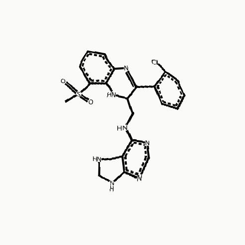 CS(=O)(=O)c1cccc2c1NC(CNc1ncnc3c1NCN3)C(c1ccccc1Cl)=N2